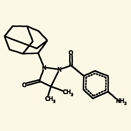 CC1(C)C(=O)N(C2C3CC4CC(C3)CC2C4)N1C(=O)c1ccc(N)cc1